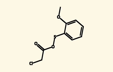 COc1ccccc1SOC(=O)CCl